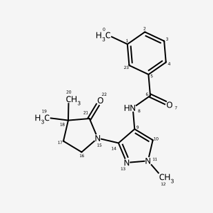 Cc1cccc(C(=O)Nc2cn(C)nc2N2CCC(C)(C)C2=O)c1